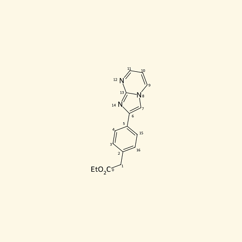 CCOC(=O)Cc1ccc(-c2cn3cccnc3n2)cc1